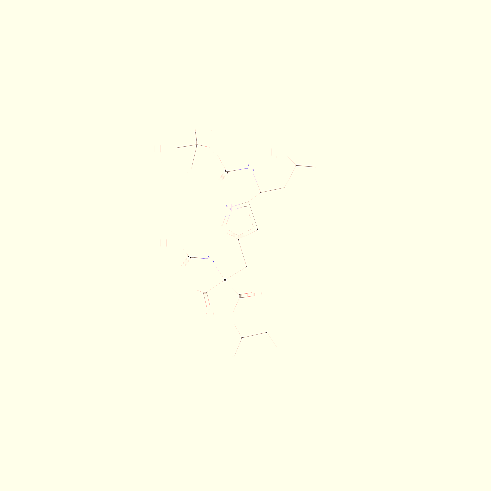 CCC(C)OC(=O)C(Cc1cc(C(CC(C)C)NC(=O)OC(C)(C)C)no1)(NC(C)=O)C(=O)O